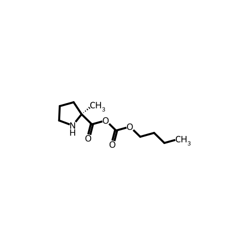 CCCCOC(=O)OC(=O)[C@]1(C)CCCN1